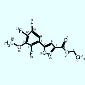 CCOC(=O)c1cc(-c2cc(F)c(F)c(OC)c2F)on1